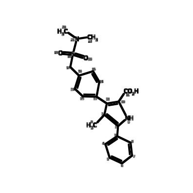 Cc1c(-c2ccccc2)[nH]c(C(=O)O)c1-c1ccc(CS(=O)(=O)N(C)C)cc1